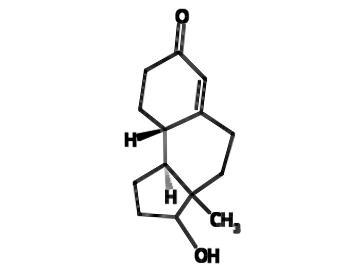 CC12CCC3=CC(=O)CC[C@H]3[C@@H]1CCC2O